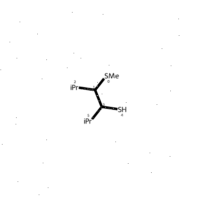 CSC(C(C)C)C(S)C(C)C